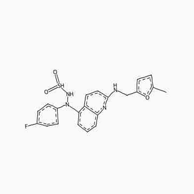 Cc1ccc(CNc2ccc3c(N(N[SH](=O)=O)c4ccc(F)cc4)cccc3n2)o1